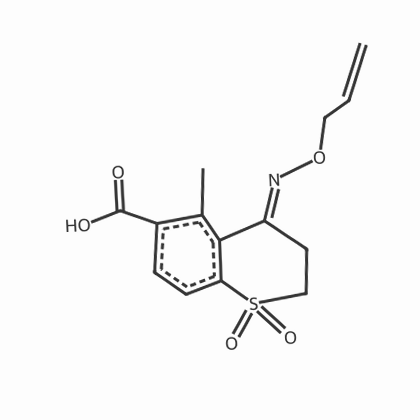 C=CCON=C1CCS(=O)(=O)c2ccc(C(=O)O)c(C)c21